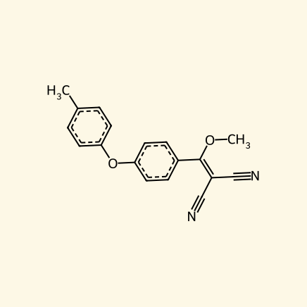 COC(=C(C#N)C#N)c1ccc(Oc2ccc(C)cc2)cc1